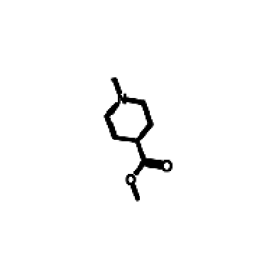 COC(=O)[C]1CCN(C)CC1